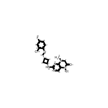 CCN1C(=O)CN(C)c2nc(N[C@H]3C[C@@H](COc4ccc(F)cc4Cl)C3)ncc21